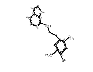 Cc1cc(CCNc2ncnc3scnc23)c(C)cc1O